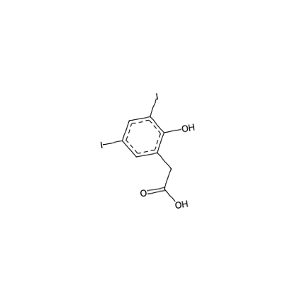 O=C(O)Cc1cc(I)cc(I)c1O